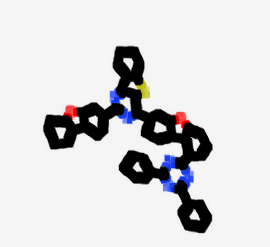 c1ccc(-c2nc(-c3ccccc3)nc(-c3cccc4oc5cc(-c6nc(-c7ccc8c(c7)oc7ccccc78)nc7c6sc6ccccc67)ccc5c34)n2)cc1